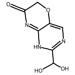 O=C1COC2=CN=C(C(O)O)NC2=N1